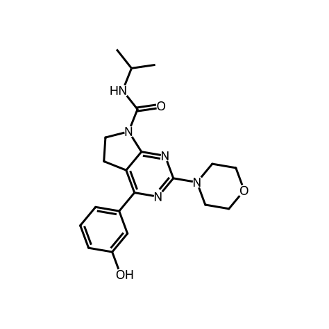 CC(C)NC(=O)N1CCc2c(-c3cccc(O)c3)nc(N3CCOCC3)nc21